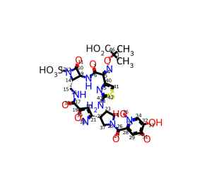 CC(C)(O/N=C(\C(=O)NC1C(=O)N(S(=O)(=O)O)[C@H]1CNC(=O)c1cc([C@@H]2CCN(C(=O)c3cc(=O)c(O)cn3O)C2)no1)c1csc(N)n1)C(=O)O